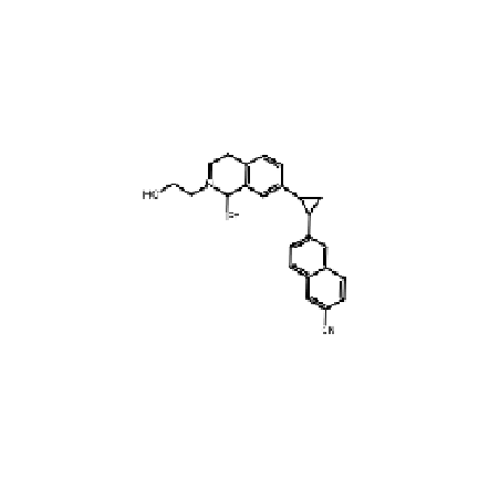 CC(C)C1c2cc(C3CC3c3ccc4cc(C#N)ccc4c3)ccc2CCN1CCO